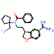 N=C(N)c1ccc2c(c1)C(CCN(C(=O)c1ccccc1)C1(CN)CCCC1)CO2